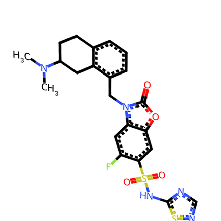 CN(C)C1CCc2cccc(Cn3c(=O)oc4cc(S(=O)(=O)Nc5ncns5)c(F)cc43)c2C1